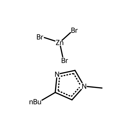 CCCCc1cn(C)cn1.[Br][Zn]([Br])[Br]